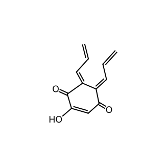 C=C/C=C1/C(=O)C=C(O)C(=O)/C1=C/C=C